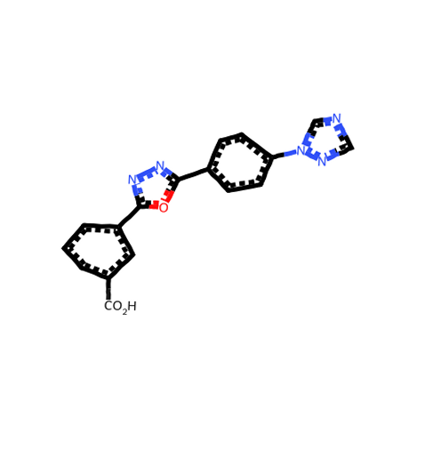 O=C(O)c1cccc(-c2nnc(-c3ccc(-n4cncn4)cc3)o2)c1